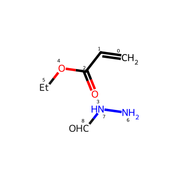 C=CC(=O)OCC.NNC=O